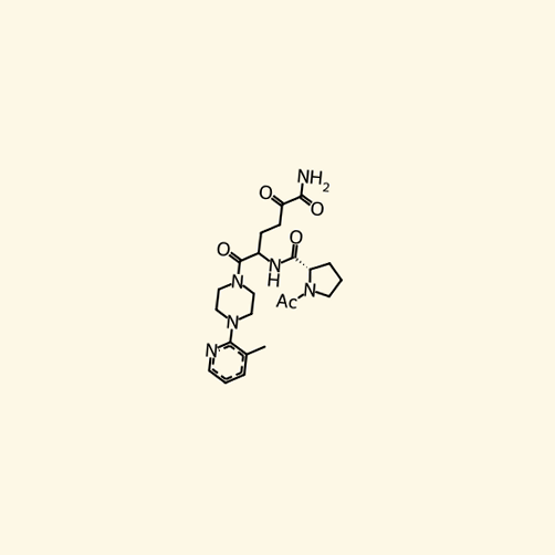 CC(=O)N1CCC[C@H]1C(=O)NC(CCC(=O)C(N)=O)C(=O)N1CCN(c2ncccc2C)CC1